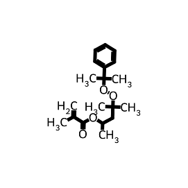 C=C(C)C(=O)OC(C)CC(C)(C)OOC(C)(C)c1ccccc1